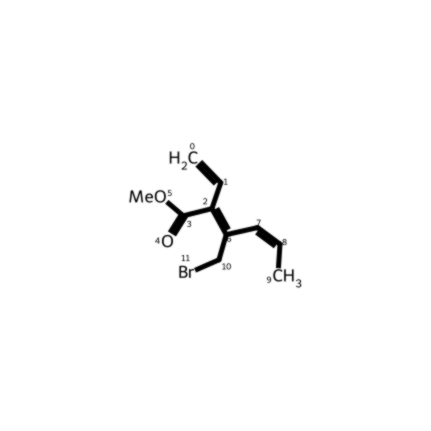 C=C/C(C(=O)OC)=C(\C=C/C)CBr